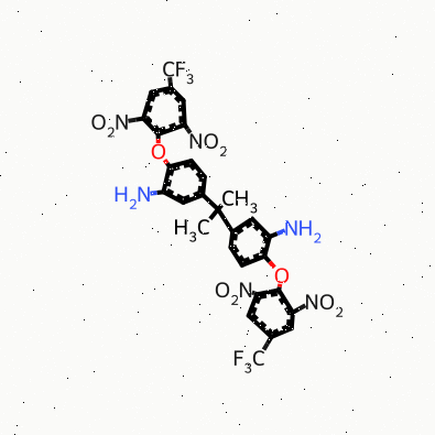 CC(C)(c1ccc(Oc2c([N+](=O)[O-])cc(C(F)(F)F)cc2[N+](=O)[O-])c(N)c1)c1ccc(Oc2c([N+](=O)[O-])cc(C(F)(F)F)cc2[N+](=O)[O-])c(N)c1